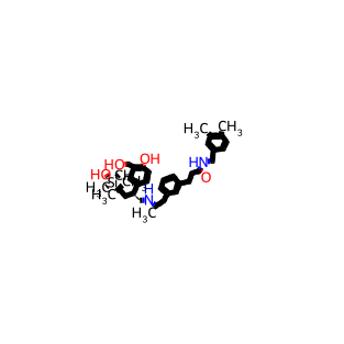 Cc1ccc(CNC(=O)CCc2cccc(C[C@@H](C)NC[C@H](CC(C)(C)[Si](C)(C)O)c3ccc(O)c(CO)c3)c2)cc1C